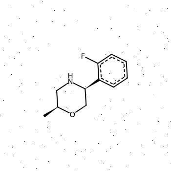 C[C@H]1CN[C@@H](c2ccccc2F)CO1